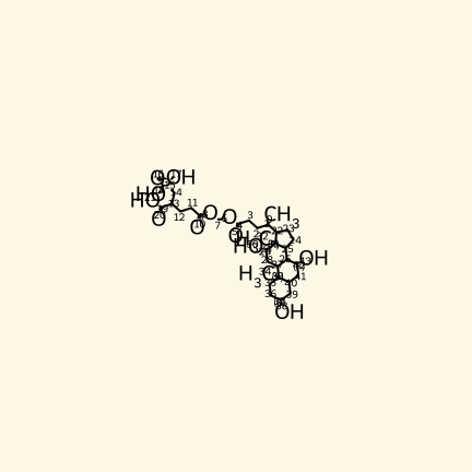 CC(CCC(=O)OCOC(=O)CCC(CP(=O)(O)O)C(=O)O)C1CCC2C3C(C[C@H](O)[C@]12C)[C@@]1(C)CC[C@@H](O)CC1C[C@H]3O